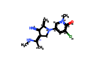 C=C1C(=N)/C(=C(/C)NC)CN1c1cc(Cl)c(=O)n(C)c1